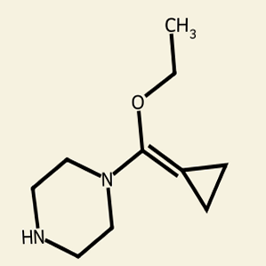 CCOC(=C1CC1)N1CCNCC1